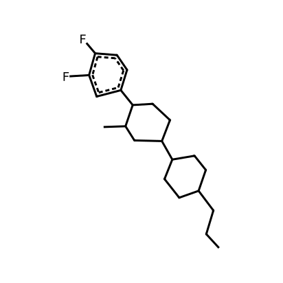 CCCC1CCC(C2CCC(c3ccc(F)c(F)c3)C(C)C2)CC1